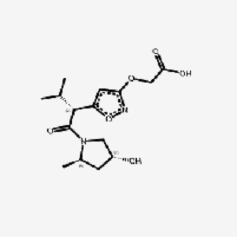 CC(C)[C@@H](C(=O)N1C[C@H](O)C[C@H]1C)c1cc(OCC(=O)O)no1